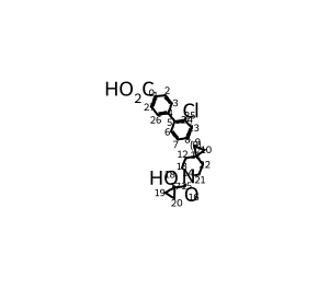 O=C(O)c1ccc(-c2ccc([C@@H]3CC34CCN(C(=O)C3(O)CC3)CC4)cc2Cl)cc1